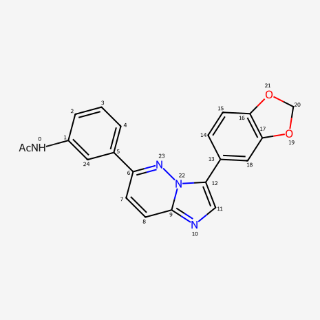 CC(=O)Nc1cccc(-c2ccc3ncc(-c4ccc5c(c4)OCO5)n3n2)c1